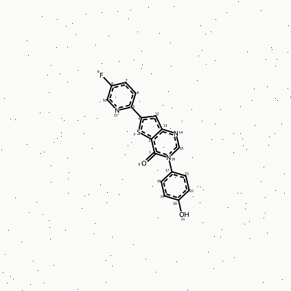 O=c1c2sc(-c3ccc(F)cn3)cc2ncn1-c1ccc(O)cc1